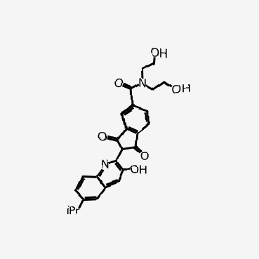 CC(C)c1ccc2nc(C3C(=O)c4ccc(C(=O)N(CCO)CCO)cc4C3=O)c(O)cc2c1